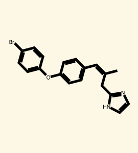 CC(=Cc1ccc(Oc2ccc(Br)cc2)cc1)Cc1ncc[nH]1